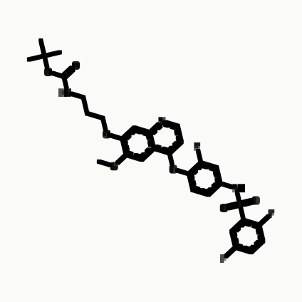 COc1cc2c(Oc3ccc(NS(=O)(=O)c4cc(F)ccc4F)cc3F)ccnc2cc1OCCCNC(=O)OC(C)(C)C